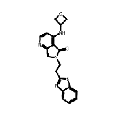 O=C1c2c(NC3COC3)ccnc2CN1CCc1nc2ccccc2s1